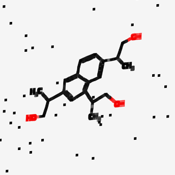 CC(CO)c1cc(C(C)CO)c2cc(C(C)CO)ccc2c1